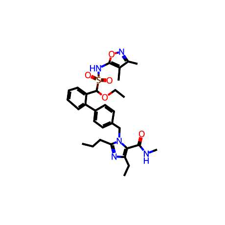 CCCc1nc(CC)c(C(=O)NC)n1Cc1ccc(-c2ccccc2C(OCC)S(=O)(=O)Nc2onc(C)c2C)cc1